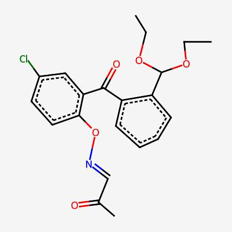 CCOC(OCC)c1ccccc1C(=O)c1cc(Cl)ccc1ON=CC(C)=O